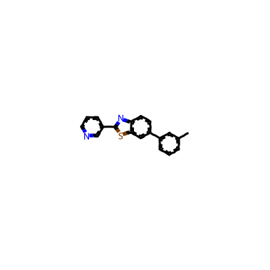 Cc1cccc(-c2ccc3nc(-c4cccnc4)sc3c2)c1